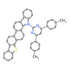 Cc1ccc(-c2cc(-c3ccc(C)cc3)nc(-n3c4ccccc4c4ccc5c6ccc7c8ccccc8sc7c6ccc5c43)n2)cc1